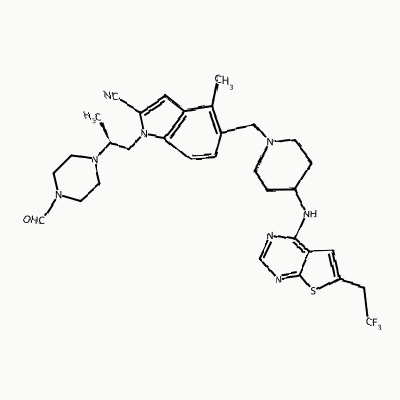 Cc1c(CN2CCC(Nc3ncnc4sc(CC(F)(F)F)cc34)CC2)ccc2c1cc(C#N)n2C[C@H](C)N1CCN(C=O)CC1